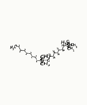 CCCCCCCCC[Si](C)(C)CCCCCCCC[Si](C)(C)C